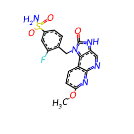 COc1ccc2c(ncc3[nH]c(=O)n(Cc4ccc(S(N)(=O)=O)cc4F)c32)n1